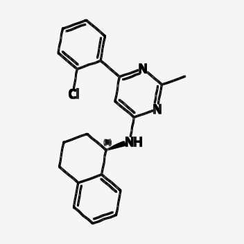 Cc1nc(N[C@@H]2CCCc3ccccc32)cc(-c2ccccc2Cl)n1